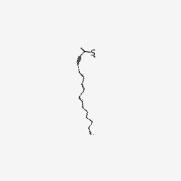 [CH2]CCCCCCCCCCCC#CC(C)SC